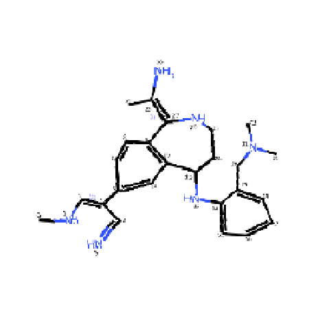 CN/C=C(\C=N)c1ccc2c(c1)C(Nc1ccccc1CN(C)C)CCN/C2=C(/C)N